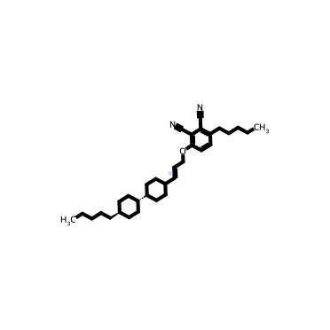 CCCCCc1ccc(OC/C=C/C2CCC([C@H]3CC[C@H](CCCCC)CC3)CC2)c(C#N)c1C#N